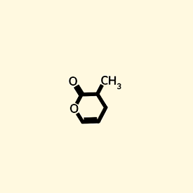 CC1CC=COC1=O